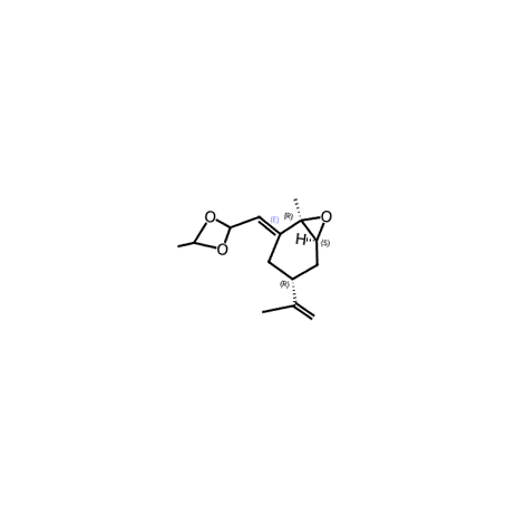 C=C(C)[C@@H]1C/C(=C\C2OC(C)O2)[C@@]2(C)O[C@H]2C1